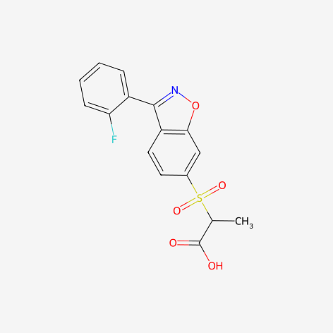 CC(C(=O)O)S(=O)(=O)c1ccc2c(-c3ccccc3F)noc2c1